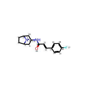 CN1C2CCC1CC(NC(=O)C=Cc1ccc(F)cc1)C2